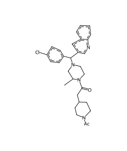 CC(=O)N1CCC(CC(=O)N2CCN(C(c3ccc(Cl)cc3)c3cnc4ccccc4c3)CC2C)CC1